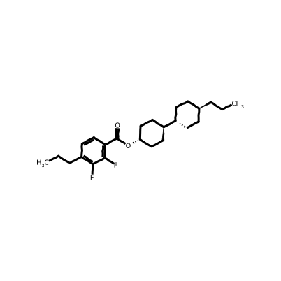 CCCc1ccc(C(=O)O[C@H]2CC[C@H]([C@H]3CC[C@H](CCC)CC3)CC2)c(F)c1F